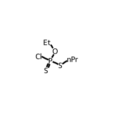 CCCSP(=S)(Cl)OCC